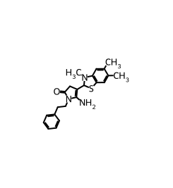 Cc1cc2c(cc1C)N(C)C(C1=C(N)N(CCc3ccccc3)C(=O)C1)S2